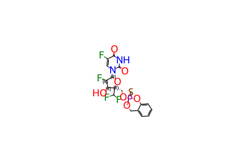 O=c1[nH]c(=O)n([C@@H]2O[C@@](COP3(=S)OCc4ccccc4O3)(C(F)F)[C@@H](O)[C@H]2F)cc1F